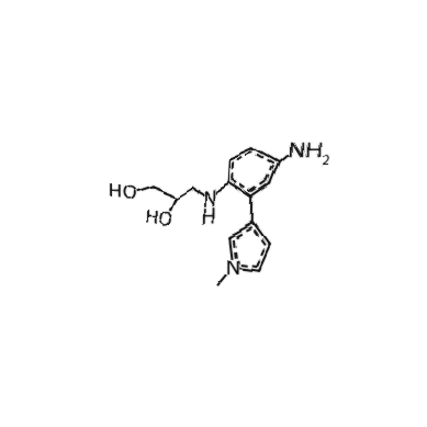 Cn1ccc(-c2cc(N)ccc2NCC(O)CO)c1